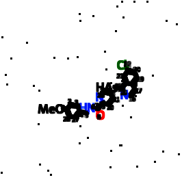 COc1ccc(CNC(=O)c2ccc([AsH]c3nccc4ccc(Cl)cc34)cn2)cc1